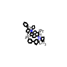 CCc1ccccc1N(c1cc(-c2ccccc2)ccc1C)c1cc(C(C)C)c2ccc3c(N(c4cc(-c5ccccc5)ccc4C)c4ccccc4CC)cc(C(C)C)c4ccc1c2c43